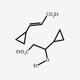 CCOC(=O)C=CC1CC1.CCOC(=O)CC(OCC)C1CC1